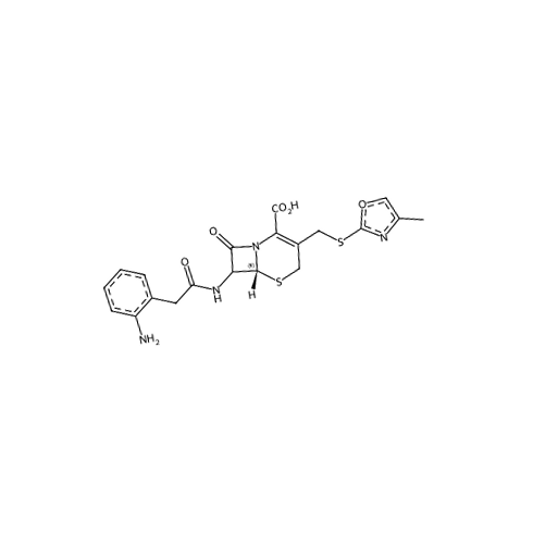 Cc1coc(SCC2=C(C(=O)O)N3C(=O)C(NC(=O)Cc4ccccc4N)[C@H]3SC2)n1